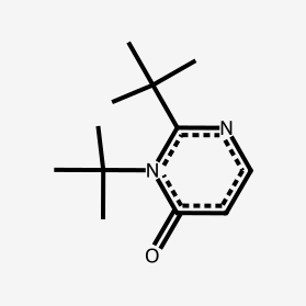 CC(C)(C)c1nccc(=O)n1C(C)(C)C